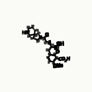 COc1ccc2c(c1C(=O)O)OB(O)C(SCC(=O)N1CCC3(CCCNC3)C1)C2